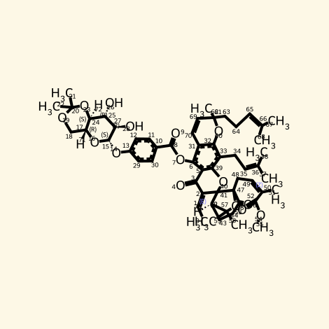 C/C=C1/C(=O)c2c(OC(=O)c3ccc(O[C@@H]4O[C@@H]5COC(C)(C)O[C@H]5[C@H](O)[C@H]4O)cc3)c3c(c(CC=C(C)C)c2OC12[C@@H]1CCC(=O)C2(C/C=C(/C)C(=O)OC)OC1(C)C)OC(C)(CCC=C(C)C)C=C3